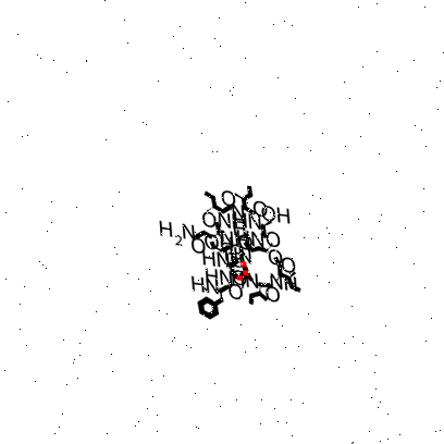 CCC(C)[C@@H]1NC(=O)[C@H](C)NC(=O)[C@H](NC(=O)[C@H](CO)NC(=O)[C@@H](NC(=O)[C@H](NC(=O)[C@@H](CCC(N)=O)NC(=O)[C@H](CO)NC(=O)[C@@H](NC(=O)[C@@H](Cc2ccccc2)NC)[C@@H](C)CC)[C@H](C)CC)[C@@H](C)CC)[C@H](C)OC(=O)[C@H]([C@@H](C)CC)NC1=O